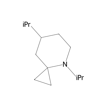 CC(C)C1CCN(C(C)C)C2(CC2)C1